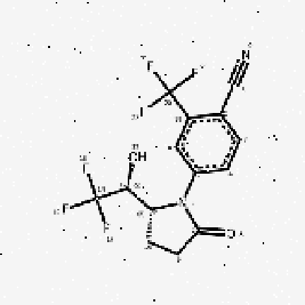 N#Cc1ccc(N2C(=O)CC[C@@H]2[C@H](O)C(F)(F)F)cc1C(F)(F)F